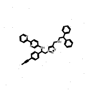 CC#Cc1ccc(C(Cn2cc(CNCC(c3ccccc3)c3ccccc3)nn2)Nc2ccc(-c3ccccn3)nc2)cc1